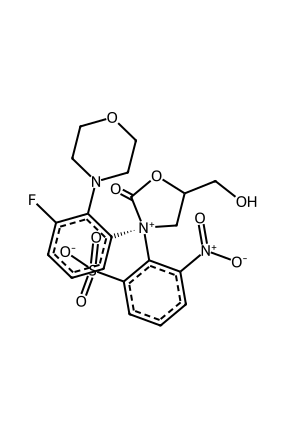 O=C1OC(CO)C[N@@+]1(c1cccc(F)c1N1CCOCC1)c1c([N+](=O)[O-])cccc1S(=O)(=O)[O-]